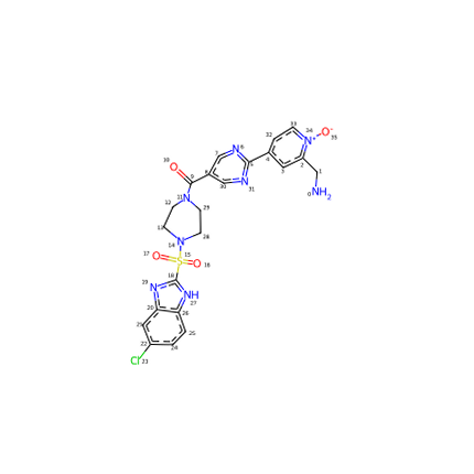 NCc1cc(-c2ncc(C(=O)N3CCN(S(=O)(=O)c4nc5cc(Cl)ccc5[nH]4)CC3)cn2)cc[n+]1[O-]